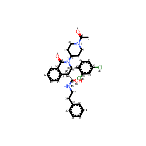 CC(=O)N1CCC(N2C(=O)c3ccccc3[C@@H](C(O)NCCc3ccccc3)[C@@H]2c2ccc(Cl)cc2Cl)CC1